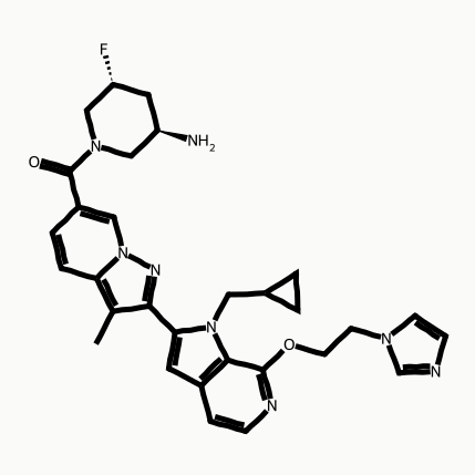 Cc1c(-c2cc3ccnc(OCCn4ccnc4)c3n2CC2CC2)nn2cc(C(=O)N3C[C@H](N)C[C@@H](F)C3)ccc12